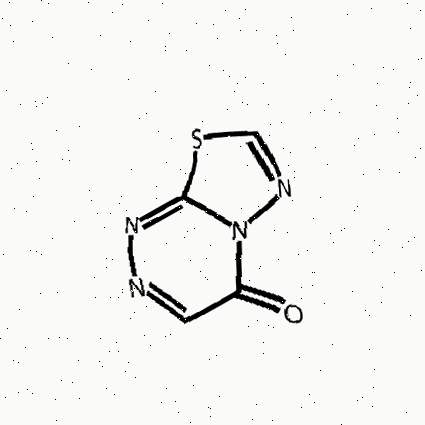 O=c1cnnc2scnn12